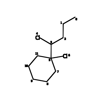 CCCC(Cl)C1(Cl)CCCCC1